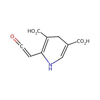 O=C=CC1=C(C(=O)O)CC(C(=O)O)=CN1